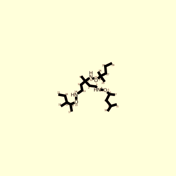 [CH2]C(CCNOC(C)CC(C)C)(CCNOC(C)C(C)CC)NOC(C)(C)CCC